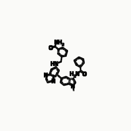 Cn1ccc2cc(-c3cc(NCc4cccc(C(N)=O)c4)cc4nccnc34)ccc21.NC(=O)c1ccccc1